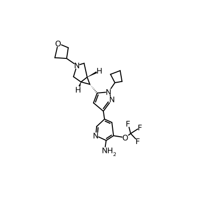 Nc1ncc(-c2cc([C@@H]3[C@@H]4CN(C5COC5)C[C@@H]43)n(C3CCC3)n2)cc1OC(F)(F)F